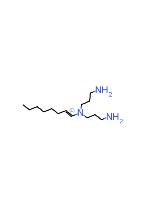 CCCCCC/C=C/N(CCCN)CCCN